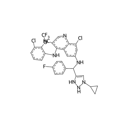 N#Cc1cnc2c(Cl)cc(NC(C3=CN(C4CC4)NN3)c3ccc(F)cc3)cc2c1Nc1cccc(Cl)c1OC(F)(F)F